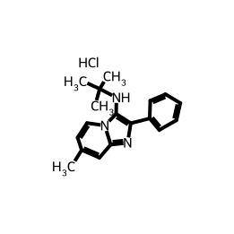 Cc1ccn2c(NC(C)(C)C)c(-c3ccccc3)nc2c1.Cl